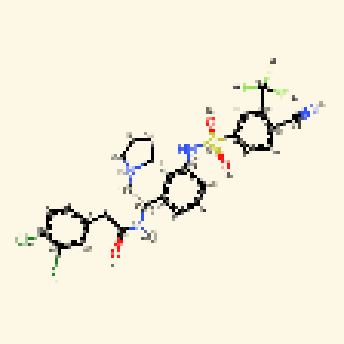 CN(C(=O)Cc1ccc(Cl)c(Cl)c1)[C@H](CN1CCCC1)c1cccc(NS(=O)(=O)c2ccc(C#N)c(C(F)(F)F)c2)c1